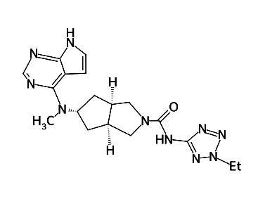 CCn1nnc(NC(=O)N2C[C@H]3C[C@H](N(C)c4ncnc5[nH]ccc45)C[C@H]3C2)n1